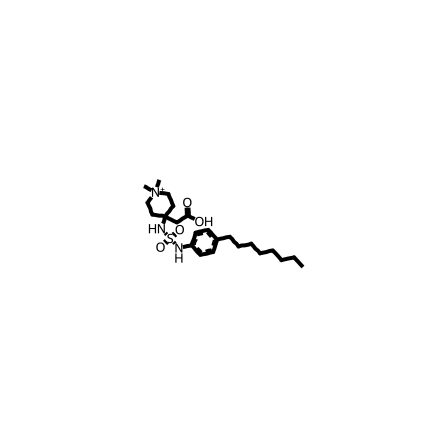 CCCCCCCCc1ccc(NS(=O)(=O)NC2(CC(=O)O)CC[N+](C)(C)CC2)cc1